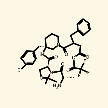 C[C@H](N)C(=O)N1[C@H](C(=O)N[C@@]2(Cc3ccc(Cl)cc3)CCCN(C(=O)C(CC(=O)OC(=O)C(F)(F)F)Cc3ccccc3)C2)COC1(C)C